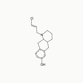 Oc1ccc2c(c1)CC1CCCN(CC=CCl)C1C2